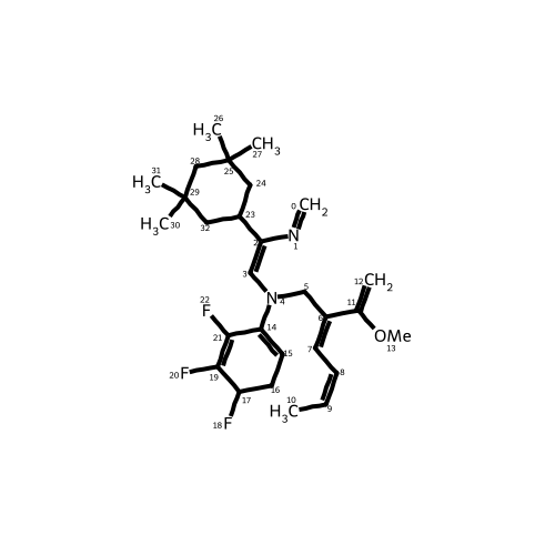 C=N/C(=C\N(C/C(=C/C=C\C)C(=C)OC)C1=CCC(F)C(F)=C1F)C1CC(C)(C)CC(C)(C)C1